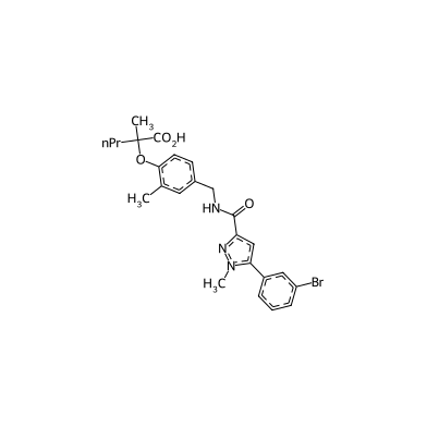 CCCC(C)(Oc1ccc(CNC(=O)c2cc(-c3cccc(Br)c3)n(C)n2)cc1C)C(=O)O